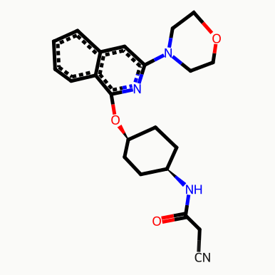 N#CCC(=O)N[C@H]1CC[C@@H](Oc2nc(N3CCOCC3)cc3ccccc23)CC1